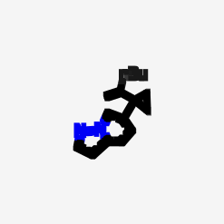 C=C(CCCC)C1(c2ccc3ccnn3c2)CC1